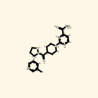 Cc1cncc([C@@H]2CCON2C(=O)C2CCN(c3nccc(C(N)=O)n3)CC2)c1